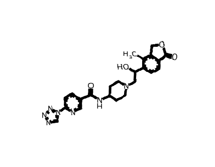 Cc1c(C(O)CN2CCC(NC(=O)c3ccc(-n4cnnn4)nc3)CC2)ccc2c1COC2=O